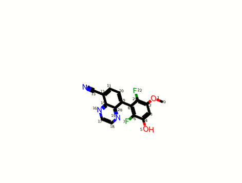 COc1cc(O)c(F)c(-c2ccc(C#N)c3nccnc23)c1F